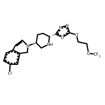 FC(F)(F)OCCOc1nnc([C@H]2CC[C@H](N3C=Cc4ccc(Cl)cc4C3)CN2)o1